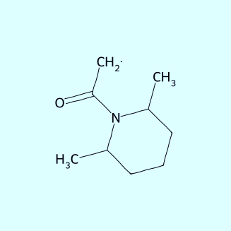 [CH2]C(=O)N1C(C)CCCC1C